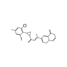 C=C1CC=CC2CC=C(/C(C)=C/C(=C)C3CC3c3c(Cl)cc(C)cc3I)C=C12